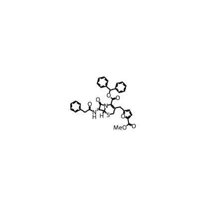 COC(=O)c1ccc(CC2=C(C(=O)OC(c3ccccc3)c3ccccc3)N3C(=O)[C@@H](NC(=O)Cc4ccccc4)[C@H]3SC2)o1